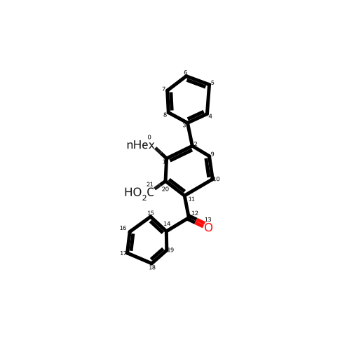 CCCCCCc1c(-c2ccccc2)ccc(C(=O)c2ccccc2)c1C(=O)O